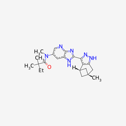 CCC(C)(C)C(=O)N(C)c1cnc2nc(-c3n[nH]c4c3[C@H]3C[C@@](C)(C4)C3)[nH]c2c1